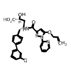 C=CCOc1cc(C(=O)N[C@H](Cc2ccc(-c3cccc(Cl)c3)cc2)C[C@@H](O)C(=O)O)nn1-c1ccccn1